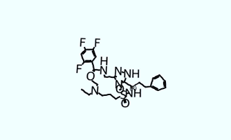 CCN(CC)CCCS(=O)(=O)N[C@H](CCc1ccccc1)c1nc(CNC(=O)c2cc(F)c(F)cc2F)n[nH]1